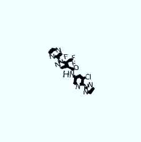 O=C(Nc1cnc(-n2nccn2)c(Cl)c1)c1cnn(-c2cnccn2)c1C(F)(F)F